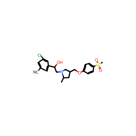 CC1CC(COc2ccc(S(C)(=O)=O)cc2)CN1CC(O)c1cc(Cl)cc(C#N)c1